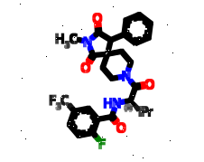 CC(C)[C@@H](NC(=O)c1cc(C(F)(F)F)ccc1F)C(=O)N1CCC2(CC1)C(=O)N(C)C(=O)C2c1ccccc1